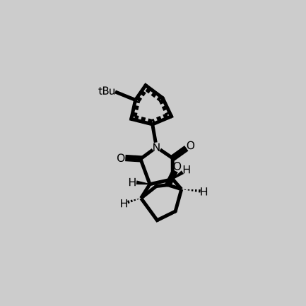 CC(C)(C)c1cccc(N2C(=O)[C@H]3[C@@H]4CC[C@@H](C(=O)C4)[C@H]3C2=O)c1